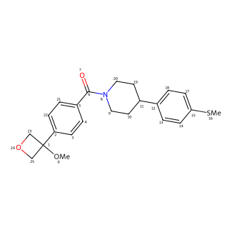 COC1(c2ccc(C(=O)N3CCC(c4ccc(SC)cc4)CC3)cc2)COC1